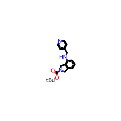 CC(C)(C)OC(=O)N1Cc2cccc(NCc3ccncc3)c2C1